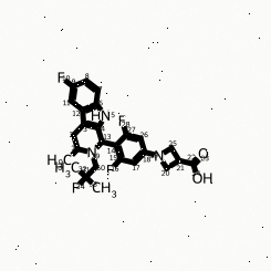 CC1Cc2c([nH]c3ccc(F)cc23)C(c2c(F)cc(N3CC(C(=O)O)C3)cc2F)N1CC(C)(C)F